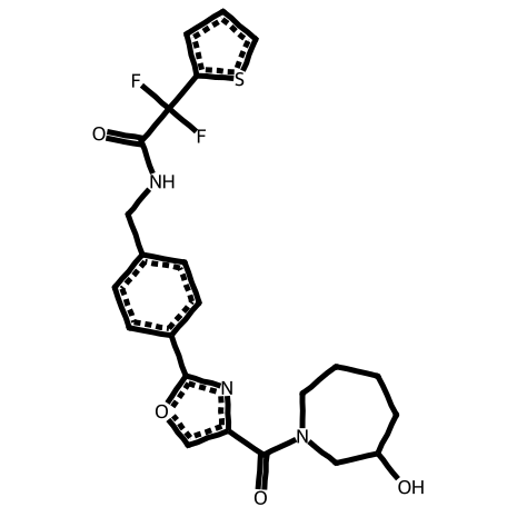 O=C(c1coc(-c2ccc(CNC(=O)C(F)(F)c3cccs3)cc2)n1)N1CCCCC(O)C1